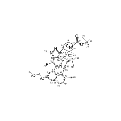 COCOc1cc(-c2ncc3c(C4CC5CCC4CN5C(=O)OC(C)(C)C)nn(C)c3c2F)c2c(C#C[Si](C(C)C)(C(C)C)C(C)C)c(F)ccc2c1